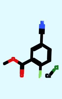 COC(=O)c1cc(C#N)ccc1F.[Cl][Cu]